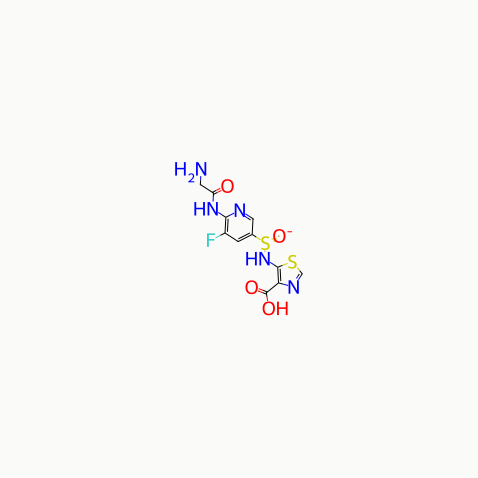 NCC(=O)Nc1ncc([S+]([O-])Nc2scnc2C(=O)O)cc1F